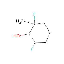 CC1(F)CCCC(F)C1O